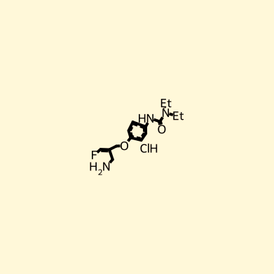 CCN(CC)C(=O)Nc1ccc(OCC(=CF)CN)cc1.Cl